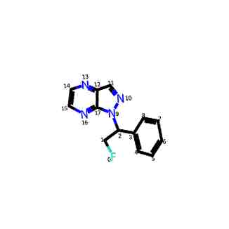 FCC(c1ccccc1)n1ncc2nccnc21